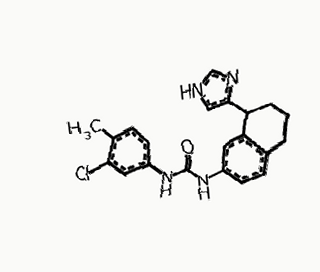 Cc1ccc(NC(=O)Nc2ccc3c(c2)C(c2c[nH]cn2)CCC3)cc1Cl